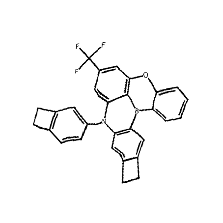 FC(F)(F)c1cc2c3c(c1)N(c1ccc4c(c1)CC4)c1cc4c(cc1B3c1ccccc1O2)CC4